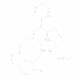 CC(C)(C)OC(=O)N1Cc2c(F)ccc3c2C(CO3)COc2cc(-c3ncccc3F)c3nncn3c21